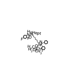 CCCCCCCN(CCCCCCc1nc(-c2ccccc2)c(-c2ccccc2)n1COC(C)[Si](C)(C)C)C(=O)Nc1ccc(F)cc1F